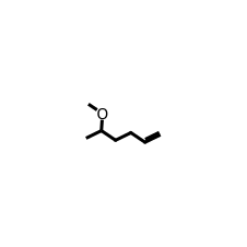 C=CCCC(C)OC